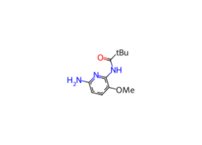 COc1ccc(N)nc1NC(=O)C(C)(C)C